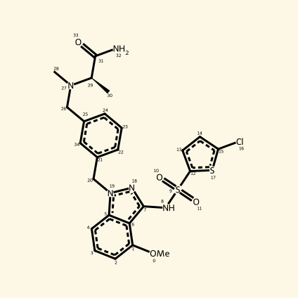 COc1cccc2c1c(NS(=O)(=O)c1ccc(Cl)s1)nn2Cc1cccc(CN(C)[C@H](C)C(N)=O)c1